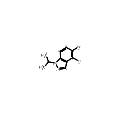 CC(C)n1ncc2c(Cl)c(Br)ccc21